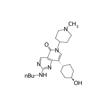 CCCCNc1ncc2c(=O)n(C3CCN(C)CC3)cc([C@H]3CC[C@H](O)CC3)c2n1